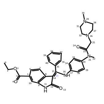 CCOC(=O)c1ccc2c(c1)NC(=O)/C2=C(\Nc1ccc(N(C)C(=O)CN2CCN(C)CC2)cc1)c1ccccc1